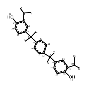 CC(C)c1cc(C(C)(C)c2ccc(C(C)(C)c3ccc(O)c(C(C)C)c3)cc2)ccc1O